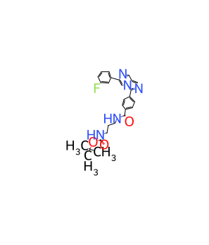 CC(C)(C)OC(=O)NCCCNC(=O)c1ccc(-c2ncc3cnc(-c4cccc(F)c4)cn23)cc1